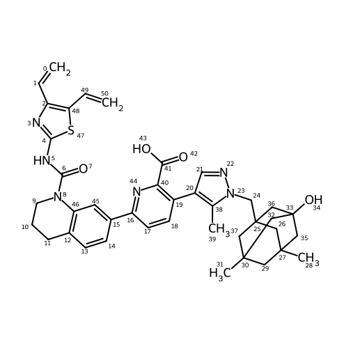 C=Cc1nc(NC(=O)N2CCCc3ccc(-c4ccc(-c5cnn(CC67CC8(C)CC(C)(CC(O)(C8)C6)C7)c5C)c(C(=O)O)n4)cc32)sc1C=C